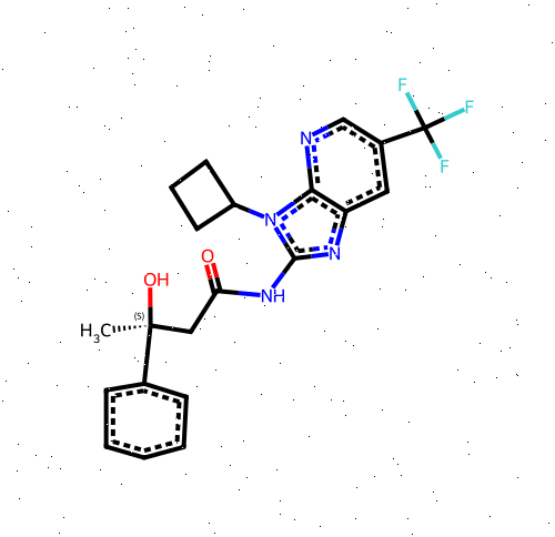 C[C@](O)(CC(=O)Nc1nc2cc(C(F)(F)F)cnc2n1C1CCC1)c1ccccc1